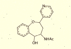 CC(=O)NC1CC(c2cccnc2)Oc2ccccc2C1O